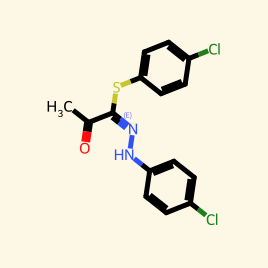 CC(=O)/C(=N\Nc1ccc(Cl)cc1)Sc1ccc(Cl)cc1